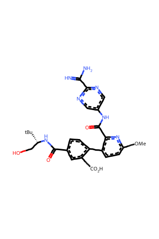 COc1ccc(-c2ccc(C(=O)N[C@H](CO)C(C)(C)C)cc2C(=O)O)c(C(=O)Nc2cnc(C(=N)N)nc2)n1